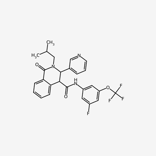 CC(C)CN1C(=O)c2ccccc2C(C(=O)Nc2cc(F)cc(OC(F)(F)F)c2)C1c1cccnc1